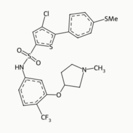 CSc1ccc(-c2sc(S(=O)(=O)Nc3ccc(C(F)(F)F)c(OC4CCN(C)C4)c3)cc2Cl)cc1